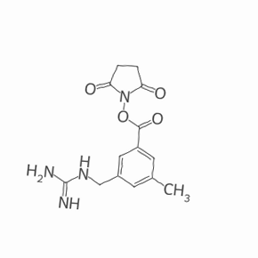 Cc1cc(CNC(=N)N)cc(C(=O)ON2C(=O)CCC2=O)c1